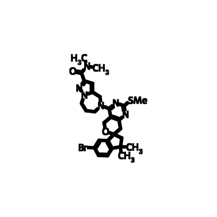 CSc1nc2c(c(N3CCCn4nc(C(=O)N(C)C)cc4C3)n1)COC1(C2)CC(C)(C)c2ccc(Br)cc21